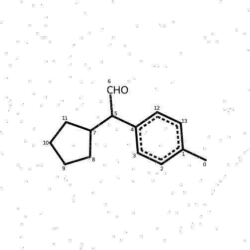 Cc1ccc(C(C=O)C2CCCC2)cc1